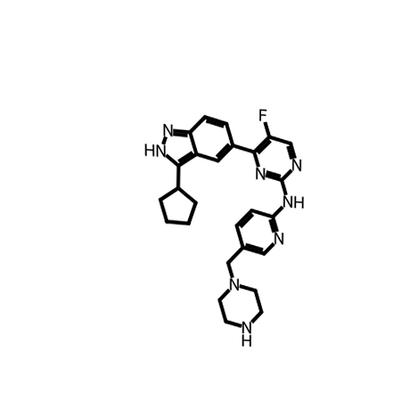 Fc1cnc(Nc2ccc(CN3CCNCC3)cn2)nc1-c1ccc2n[nH]c(C3CCCC3)c2c1